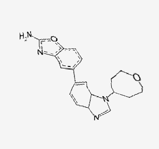 Nc1nc2cc(C3=CC4C(C=C3)N=CN4C3CCOCC3)ccc2o1